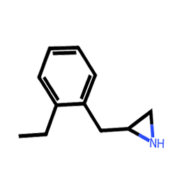 CCc1ccccc1CC1CN1